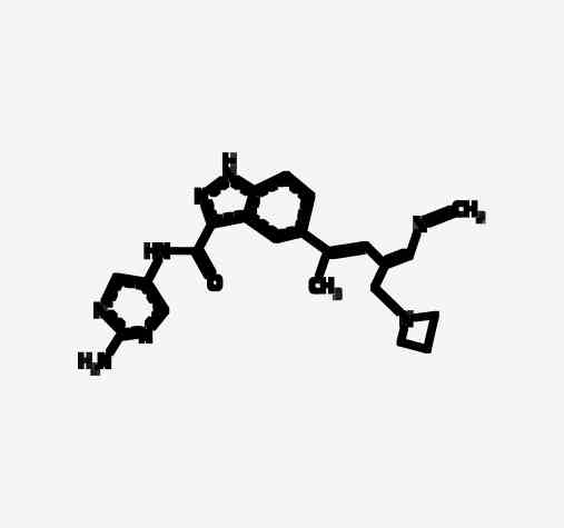 C=N/C=C(\C=C(/C)c1ccc2[nH]nc(C(=O)Nc3cnc(N)nc3)c2c1)CN1CCC1